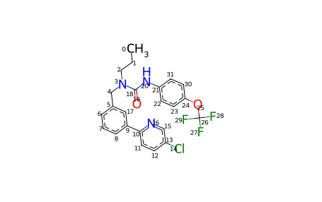 CCCN(Cc1cccc(-c2ccc(Cl)cn2)c1)C(=O)Nc1ccc(OC(F)(F)F)cc1